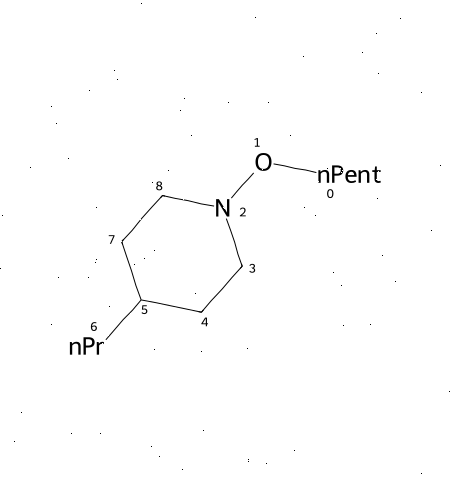 CCCCCON1CCC(CCC)CC1